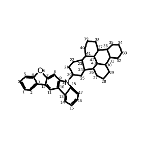 c1ccc2c(c1)oc1cc3c(cc12)c1ccccc1n3C1CCC2C(C1)C1CCCC3C4CCCCC4C4CCCC2C4C31